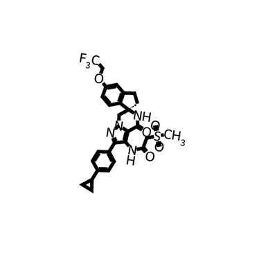 CS(=O)(=O)CC(=O)Nc1c(-c2ccc(C3CC3)cc2)nn2c1C(=O)N[C@@]1(CCc3cc(OCC(F)(F)F)ccc31)C2